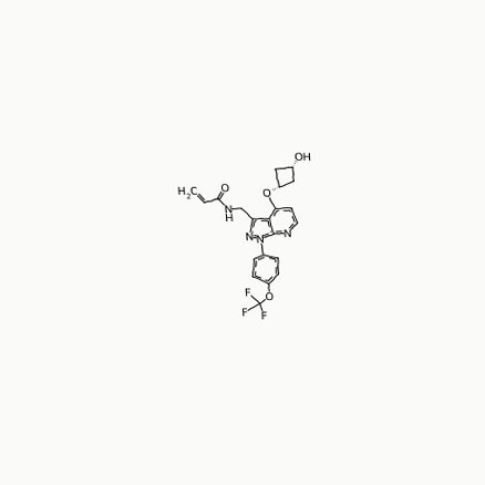 C=CC(=O)NCc1nn(-c2ccc(OC(F)(F)F)cc2)c2nccc(O[C@H]3C[C@@H](O)C3)c12